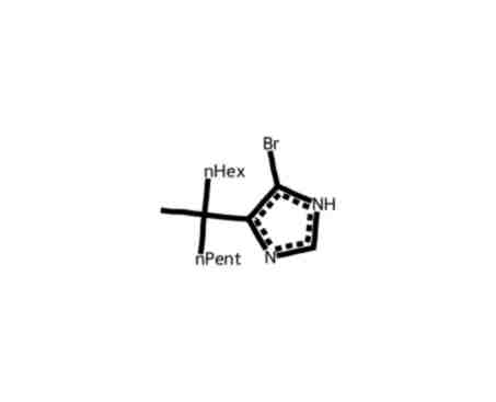 CCCCCCC(C)(CCCCC)c1nc[nH]c1Br